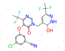 CC(F)(F)C1=NNC(O)C(Cn2cnc(C(C)(F)F)c(Oc3cc(Cl)cc(C#N)c3)c2=O)=C1